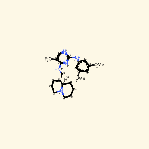 COc1cc(Nc2ncc(C(F)(F)F)c(NC[C@@H]3CCCN4CCCC[C@H]34)n2)cc(OC)c1